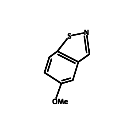 COc1ccc2sncc2c1